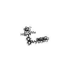 CON=C(C)C=NO.CON=C(C)C=NO.O=C([O-])C(Cl)(Cl)Cl.O=C([O-])C(Cl)(Cl)Cl.O=C([O-])C(Cl)(Cl)Cl.[Co+3].c1ccncc1.c1ccncc1